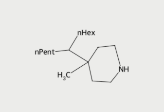 CCCCCCC(CCCCC)C1(C)CCNCC1